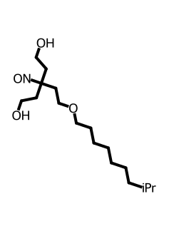 CC(C)CCCCCCCOCCC(CCO)(CCO)N=O